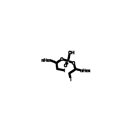 CCCCCCC(CI)OP(=O)(O)OC(CI)CCCCCC